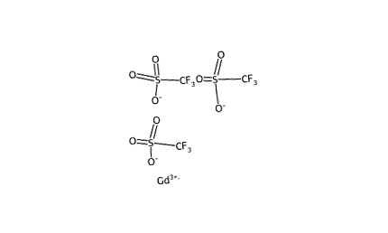 O=S(=O)([O-])C(F)(F)F.O=S(=O)([O-])C(F)(F)F.O=S(=O)([O-])C(F)(F)F.[Gd+3]